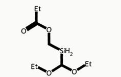 CCOC(OCC)[SiH2]COC(=O)CC